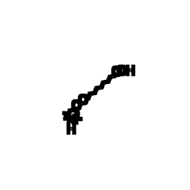 CC1(C)CC(OCOCCCCCCCCCOO)CC(C)(C)N1